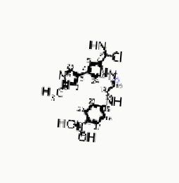 Cn1cc(-c2cc(C(=N)Cl)n(/N=C\CNc3ccc(B(O)O)cc3)c2)cn1